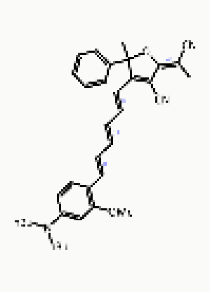 CCCCN(CCCC)c1ccc(/C=C/C=C/C=C/C2=C(C#N)C(=C(\C)C#N)/OC2(C)c2ccccc2)c(OC)c1